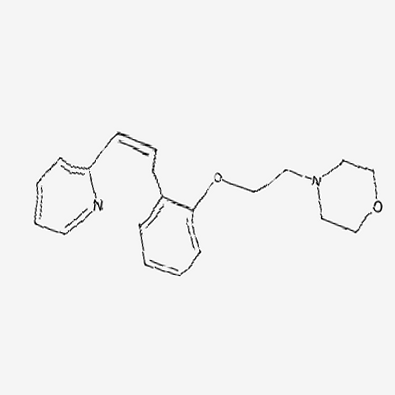 C(=C/c1ccccc1OCCN1CCOCC1)/c1ccccn1